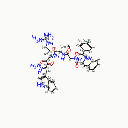 CC(C)C[C@H](NC(=O)CNC(=O)[C@H](Cc1ccccc1)NC(=O)c1ccc(F)cc1)C(=O)N[C@@H](CCCNC(N)N)C(=O)C(=O)[C@H](Cc1c[nH]c2ccccc12)NN